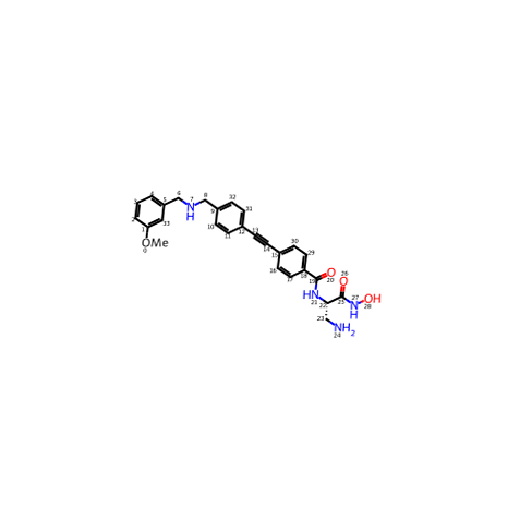 COc1cccc(CNCc2ccc(C#Cc3ccc(C(=O)N[C@@H](CN)C(=O)NO)cc3)cc2)c1